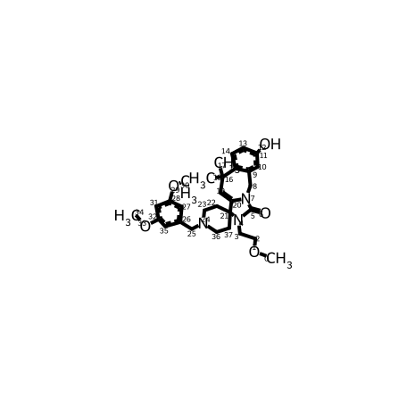 COCCN1C(=O)N2Cc3cc(O)ccc3C(C)(C)C=C2C12CCN(Cc1cc(OC)cc(OC)c1)CC2